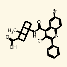 CC12C3C4C5C(C1C53NC(=O)c1c(Cl)c(-c3ccccc3)nc3ccc(Br)cc13)C42C(=O)O